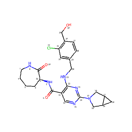 O=C(N[C@H]1CCCCNC1=O)c1cnc(N2CC3CC3C2)nc1NCc1ccc(CO)c(Cl)c1